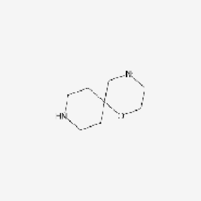 C1COC2(CCNCC2)C[N]1